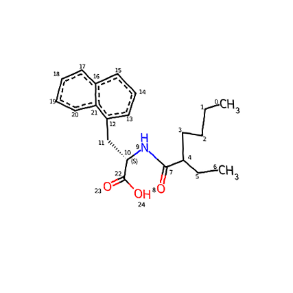 CCCCC(CC)C(=O)N[C@@H](Cc1cccc2ccccc12)C(=O)O